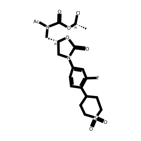 CC(=O)N(C[C@H]1CN(c2ccc(C3CCS(=O)(=O)CC3)c(F)c2)C(=O)O1)C(=O)O[C@@H](C)Cl